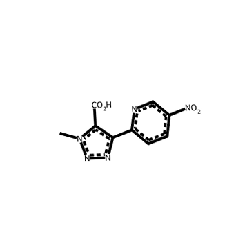 Cn1nnc(-c2ccc([N+](=O)[O-])cn2)c1C(=O)O